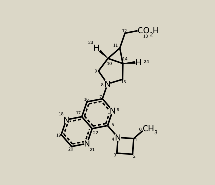 CC1CCN1c1nc(N2C[C@@H]3C(CC(=O)O)[C@@H]3C2)cc2nccnc12